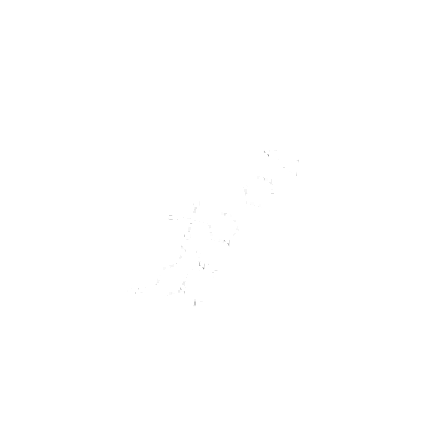 CCS(=O)(=O)c1cc(-c2ccc(C3(C#N)CC3)cc2)cnc1-c1nc2cc(C(F)(F)F)cn(C(C)C)c-2[n+]1F